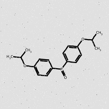 CC(C)Oc1ccc([P](=O)c2ccc(OC(C)C)cc2)cc1